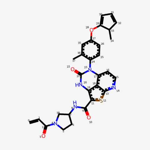 C=CC(=O)N1CCC(NC(=O)c2sc3nccc4c3c2NC(=O)N4c2ccc(OC3=CC=CC3C)cc2C)C1